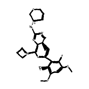 COc1cc(OC)c(F)c(-c2cc3cnc(N[C@H]4CCCOC4)nc3c(N3CCC3)n2)c1F